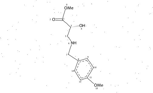 COC(=O)[C@H](O)CNCc1ccc(OC)cc1